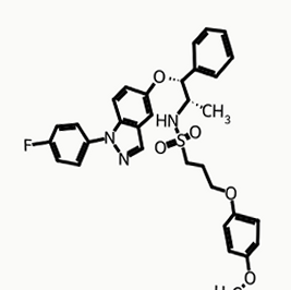 COc1ccc(OCCCS(=O)(=O)N[C@@H](C)[C@H](Oc2ccc3c(cnn3-c3ccc(F)cc3)c2)c2ccccc2)cc1